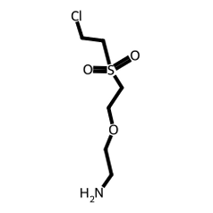 NCCOCCS(=O)(=O)CCCl